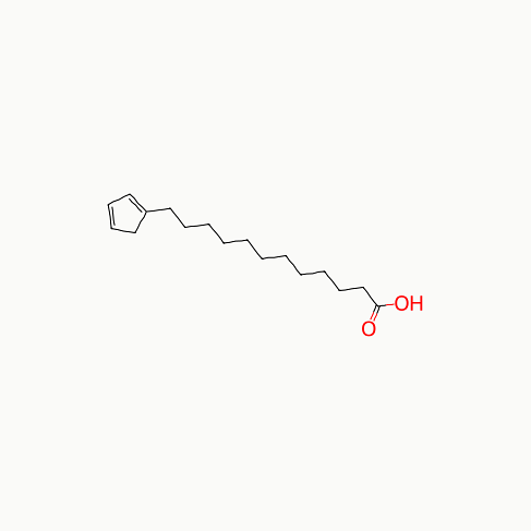 O=C(O)CCCCCCCCCCCC1=CC=CC1